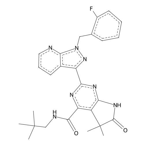 CC(C)(C)CNC(=O)c1nc(-c2nn(Cc3ccccc3F)c3ncccc23)nc2c1C(C)(C)C(=O)N2